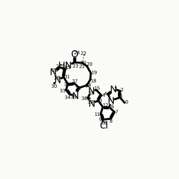 Cc1cncn1-c1ccc(Cl)cc1C1=CCN([C@H]2CCC[C@@H](C)C(=O)Nc3cnn(C)c3-c3ccnc2c3)C=N1